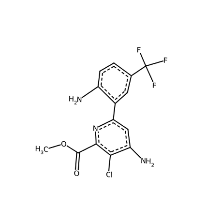 COC(=O)c1nc(-c2cc(C(F)(F)F)ccc2N)cc(N)c1Cl